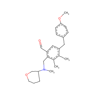 COc1ccc(Cc2cc(C=O)c(CN(C)C3CCCOC3)c(C)c2C)cc1